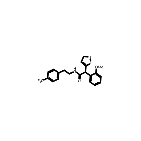 COc1ccccc1C(C(=O)NCCc1ccc(C(F)(F)F)cc1)C1=CCOO1